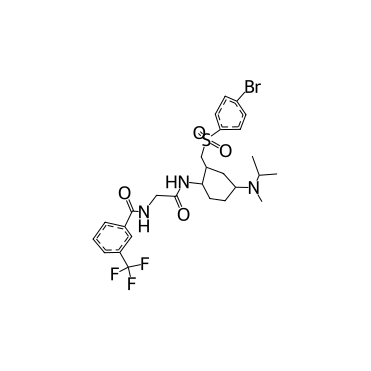 CC(C)N(C)C1CCC(NC(=O)CNC(=O)c2cccc(C(F)(F)F)c2)C(CS(=O)(=O)c2ccc(Br)cc2)C1